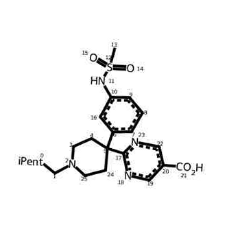 CCCC(C)CN1CCC(c2cccc(NS(C)(=O)=O)c2)(c2ncc(C(=O)O)cn2)CC1